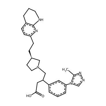 Cc1nncn1-c1cccc(C(CC(=O)O)CN2CC[C@@H](CCc3ccc4c(n3)NCCC4)C2)c1